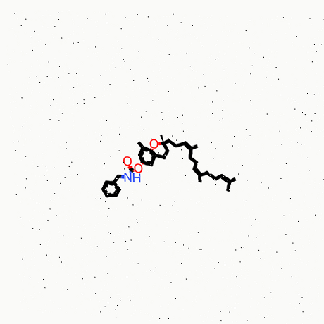 CC(C)=CCCC(C)=CCCC(C)=CCC[C@]1(C)CCc2cc(OC(=O)NCc3ccccc3)cc(C)c2O1